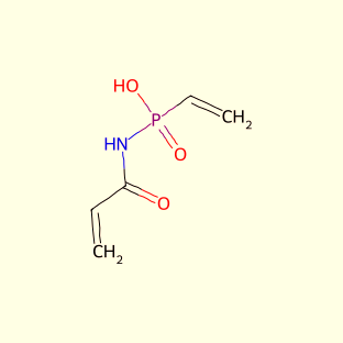 C=CC(=O)NP(=O)(O)C=C